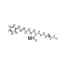 N.[CH2]CCSCCCCCCCCCCCCc1ccccc1